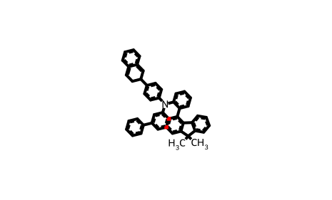 CC1(C)c2ccccc2-c2c(-c3ccccc3N(c3ccc(C4C=c5ccccc5=CC4)cc3)c3cccc(-c4ccccc4)c3)cccc21